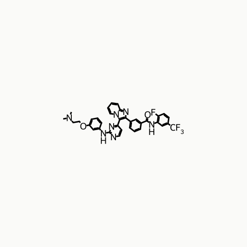 CN(C)CCOc1cccc(Nc2nccc(-c3c(-c4cccc(C(=O)Nc5cc(C(F)(F)F)ccc5F)c4)nc4ccccn34)n2)c1